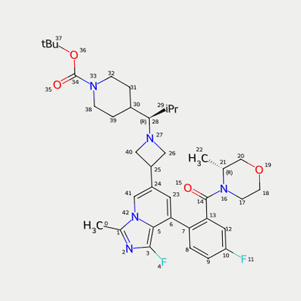 Cc1nc(F)c2c(-c3ccc(F)cc3C(=O)N3CCOC[C@H]3C)cc(C3CN([C@H](C(C)C)C4CCN(C(=O)OC(C)(C)C)CC4)C3)cn12